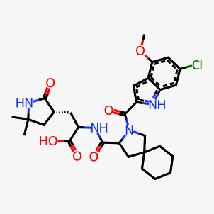 COc1cc(Cl)cc2[nH]c(C(=O)N3CC4(CCCCC4)CC3C(=O)NC(C[C@@H]3CC(C)(C)NC3=O)C(=O)O)cc12